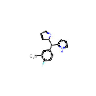 O=[N+]([O-])c1cc(C(c2ccc[nH]2)C2C=CC=N2)ccc1F